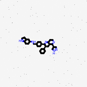 c1ccc(-c2cc3c(-c4cn[nH]c4)nccc3nc2-c2ccc(CNc3ccc4[nH]ccc4c3)cc2)cc1